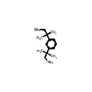 CC(C)(C)CC(C)(C)c1[c]ccc(C(C)(C)CC(C)(C)C)c1